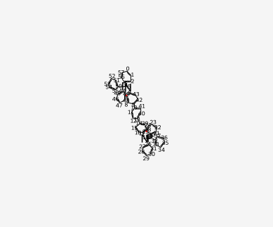 c1ccc(P(=Nc2ccc(-c3ccc(-c4ccc(N=P(c5ccccc5)(c5ccccc5)c5ccccc5)cc4)cc3)cc2)(c2ccccc2)c2ccccc2)cc1